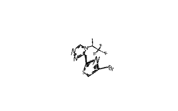 CC(n1cnnc1-c1nc(Br)cs1)C(F)(F)F